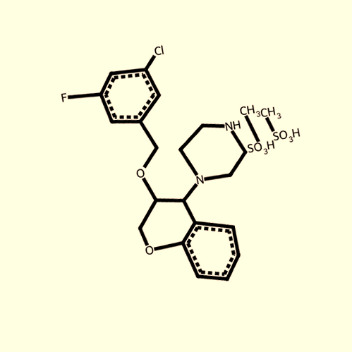 CS(=O)(=O)O.CS(=O)(=O)O.Fc1cc(Cl)cc(COC2COc3ccccc3C2N2CCNCC2)c1